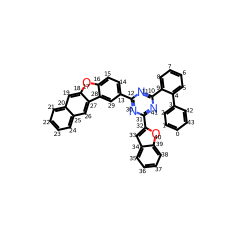 c1ccc(-c2ccccc2-c2nc(-c3ccc4oc5cc6ccccc6cc5c4c3)nc(-c3cc4ccccc4o3)n2)cc1